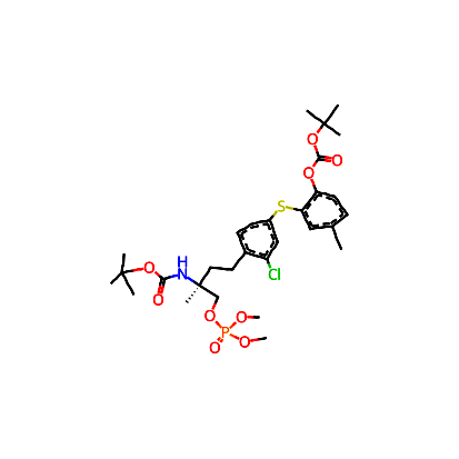 COP(=O)(OC)OC[C@](C)(CCc1ccc(Sc2cc(C)ccc2OC(=O)OC(C)(C)C)cc1Cl)NC(=O)OC(C)(C)C